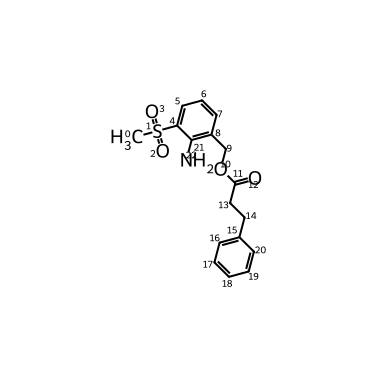 CS(=O)(=O)c1cccc(COC(=O)CCc2ccccc2)c1N